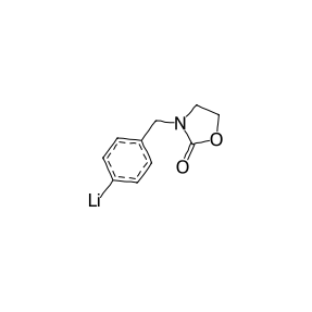 [Li][c]1ccc(CN2CCOC2=O)cc1